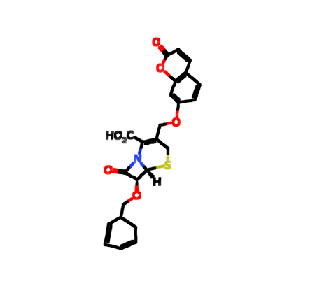 O=C(O)C1=C(COc2ccc3ccc(=O)oc3c2)CS[C@@H]2[C@@H](OCC3C=CC=CC3)C(=O)N12